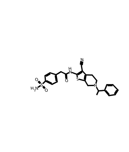 CC(c1ccccc1)N1CCc2c(sc(NC(=O)Cc3ccc(S(N)(=O)=O)cc3)c2C#N)C1